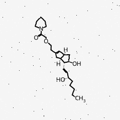 CCCCC[C@H](O)/C=C/[C@@H]1[C@H]2CC(CCOCC(=O)N3CCCCC3)=C[C@H]2C[C@H]1O